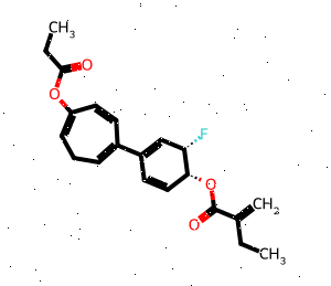 C=C(CC)C(=O)O[C@@H]1C=CC(C2=CCC=C(OC(=O)CC)C=C2)=C[C@@H]1F